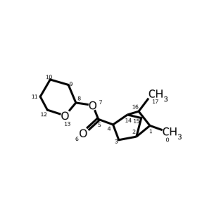 CC1C2CC(C(=O)OC3CCCCO3)C(C2)C1C